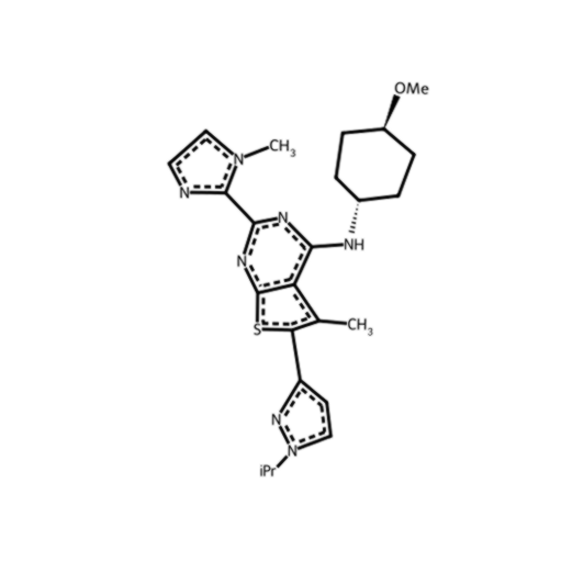 CO[C@H]1CC[C@H](Nc2nc(-c3nccn3C)nc3sc(-c4ccn(C(C)C)n4)c(C)c23)CC1